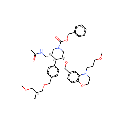 COCCCN1CCOc2ccc(CO[C@H]3CN(C(=O)OCc4ccccc4)C[C@@H](CNC(C)=O)[C@@H]3c3ccc(COC[C@@H](C)COC)cc3)cc21